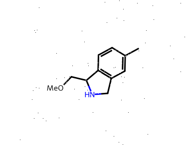 COCC1NCc2cc(C)ccc21